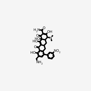 CN(C)C1C(O)=C(C(N)=O)C(=O)C2(O)C(O)=C3C(=O)c4c(O)c(CN)cc(-c5cccc([N+](=O)[O-])c5)c4CC3CC12